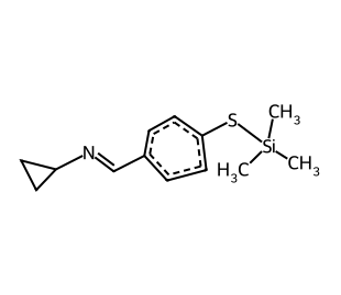 C[Si](C)(C)Sc1ccc(C=NC2CC2)cc1